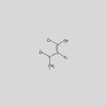 CC(Cl)C(Cl)=C(O)Cl